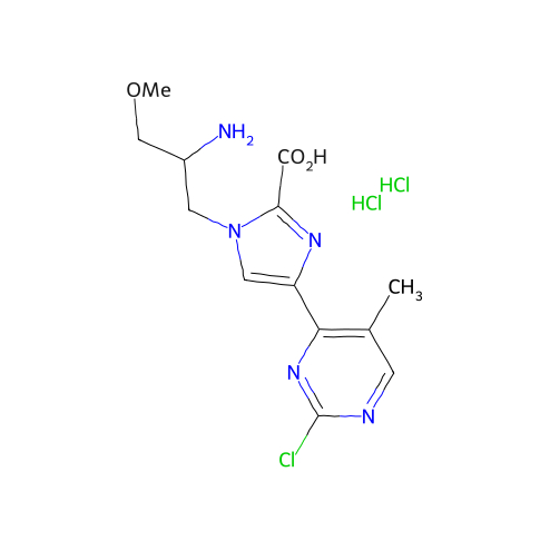 COCC(N)Cn1cc(-c2nc(Cl)ncc2C)nc1C(=O)O.Cl.Cl